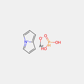 C1=CC2=CC=C[N+]2=C1.CC(=O)[O-].O=[PH](O)O